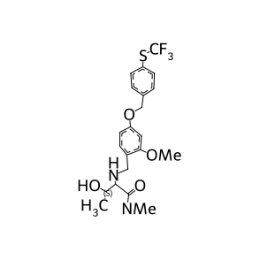 CNC(=O)C(NCc1ccc(OCc2ccc(SC(F)(F)F)cc2)cc1OC)[C@H](C)O